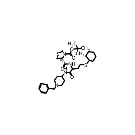 CC(C)(C)OC(=O)N1CSC[C@H]1C(=O)NC(CCSC1CCCCC1)C(=O)NC1CCN(Cc2ccccc2)CC1